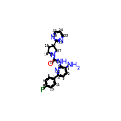 Nc1ccc(-c2ccc(F)cc2)nc1NC(=O)N1CC[C@@H](c2ncccn2)C1